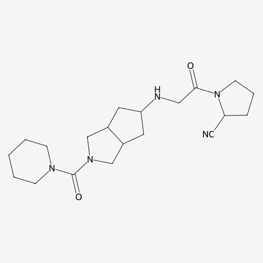 N#CC1CCCN1C(=O)CNC1CC2CN(C(=O)N3CCCCC3)CC2C1